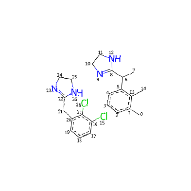 Cc1cccc(C(C)C2=NCCN2)c1C.Clc1cccc(CC2=NCCN2)c1Cl